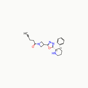 C#CCCC(=O)N1CC(c2nnc([C@H]3NCCC[C@H]3c3ccccc3)o2)C1